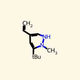 C=CC1=CNN(C)C(C(C)(C)C)=C1